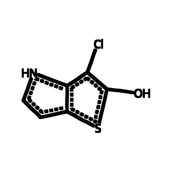 Oc1sc2cc[nH]c2c1Cl